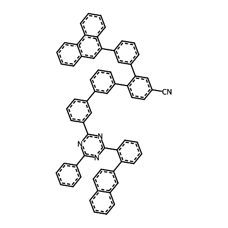 N#Cc1ccc(-c2cccc(-c3cccc(-c4nc(-c5ccccc5)nc(-c5ccccc5-c5ccc6ccccc6c5)n4)c3)c2)c(-c2cccc(-c3cc4ccccc4c4ccccc34)c2)c1